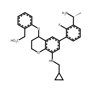 C[C@@H](N)c1cccc(-c2cc(NCC3CC3)c3c(c2)C(Oc2ccccc2CC(=O)O)CCO3)c1F